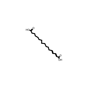 O=C(O)/C=C/C=C/CCCCCCCCCCCC(=O)O